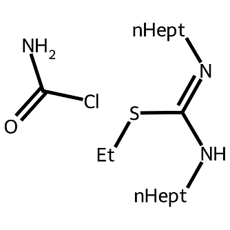 CCCCCCCN=C(NCCCCCCC)SCC.NC(=O)Cl